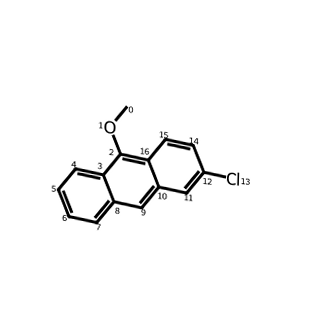 COc1c2ccccc2cc2cc(Cl)ccc12